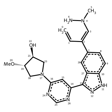 C=C/C(=C\N(C)N)c1ccc2[nH]nc(-c3cc(N4C[C@H](OC)[C@@H](O)C4)ncn3)c2c1